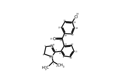 CC(C)N1CCN=C1c1ccccc1C(=O)c1ccc(Cl)cc1